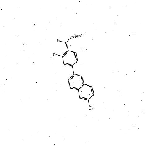 CCCCCCCC(F)c1ccc(-c2ccc3cc(O)ccc3c2)nc1F